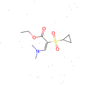 CCOC(=O)C(=CN(C)C)S(=O)(=O)C1CC1